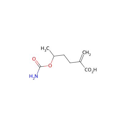 C=C(CCC(C)OC(N)=O)C(=O)O